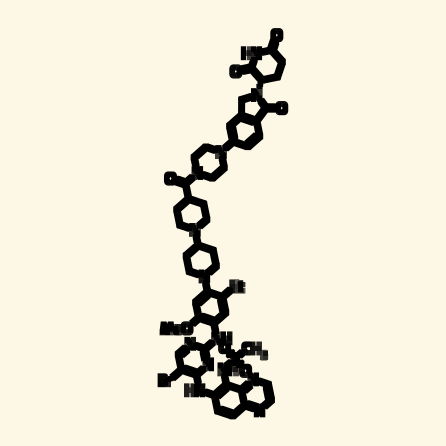 CCc1cc(Nc2ncc(Br)c(Nc3ccc4nccnc4c3NS(C)(=O)=O)n2)c(OC)cc1N1CCC(N2CCC(C(=O)N3CCN(c4ccc5c(c4)CN([C@H]4CCC(=O)NC4=O)C5=O)CC3)CC2)CC1